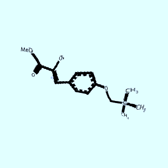 COC(=O)/C(C#N)=C/c1ccc(OC[Si](C)(C)C)cc1